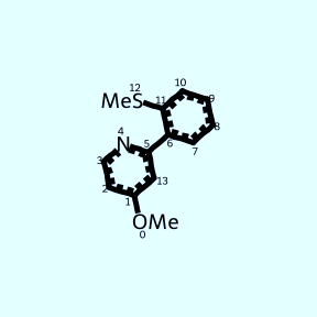 COc1ccnc(-c2ccccc2SC)c1